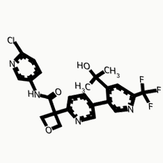 CC(C)(O)c1cc(C(F)(F)F)ncc1-c1ccc(C2(C(=O)Nc3ccc(Cl)nc3)COC2)nc1